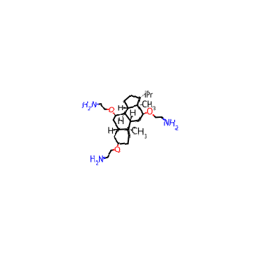 CC(C)[C@H]1CC[C@H]2[C@@H]3[C@H](OCCN)C[C@H]4C[C@H](OCCN)CC[C@]4(C)[C@H]3C[C@H](OCCN)[C@]12C